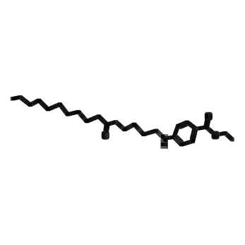 CCCCCCCCCCC(=O)CCCCCNc1ccc(C(=O)OCC)cc1